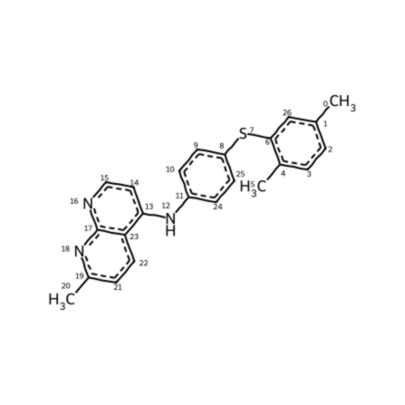 Cc1ccc(C)c(Sc2ccc(Nc3ccnc4nc(C)ccc34)cc2)c1